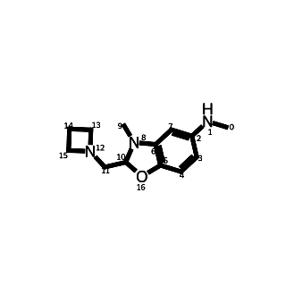 CNc1ccc2c(c1)N(C)C(CN1CCC1)O2